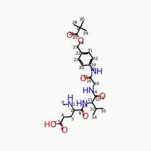 CNC(CCC(=O)O)C(=O)NC(C(=O)NCC(=O)Nc1ccc(COC(=O)C(C)(C)C)cc1)C(C)C